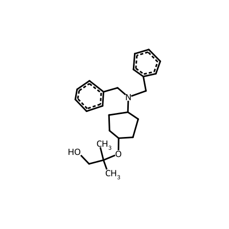 CC(C)(CO)OC1CCC(N(Cc2ccccc2)Cc2ccccc2)CC1